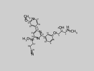 CNCC(O)COc1cccc(-c2nc(-c3ccnc(OC)c3)cc(N(C)CCC#N)n2)c1